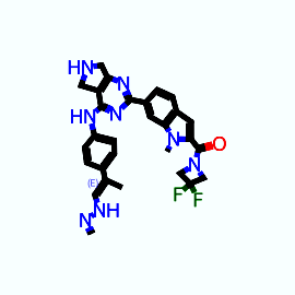 C=NN/C=C(\C)c1ccc(Nc2nc(-c3ccc4cc(C(=O)N5CC(F)(F)C5)n(C)c4c3)nc3c2CNC3)cc1